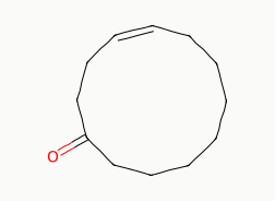 O=C1CCC=CCCCCCCC1